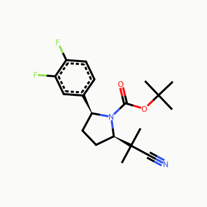 CC(C)(C)OC(=O)N1[C@H](c2ccc(F)c(F)c2)CC[C@@H]1C(C)(C)C#N